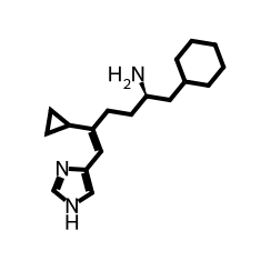 N[C@H](CCC(=Cc1c[nH]cn1)C1CC1)CC1CCCCC1